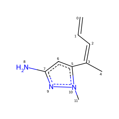 C=C/C=C(/C)c1cc(N)nn1C